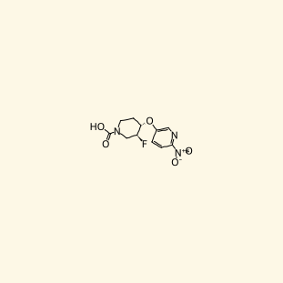 O=C(O)N1CC[C@H](Oc2ccc([N+](=O)[O-])nc2)[C@@H](F)C1